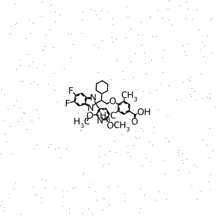 COc1ccc(C2(C(COc3c(C)cc(C(=O)O)cc3C)C3CCCCC3)N=c3cc(F)c(F)cc3=N2)c(OC)n1